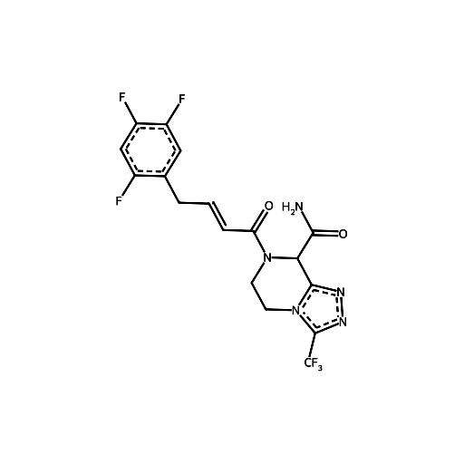 NC(=O)C1c2nnc(C(F)(F)F)n2CCN1C(=O)/C=[C]/Cc1cc(F)c(F)cc1F